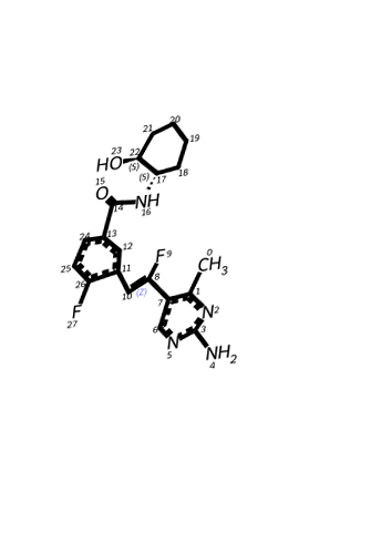 Cc1nc(N)ncc1/C(F)=C/c1cc(C(=O)N[C@H]2CCCC[C@@H]2O)ccc1F